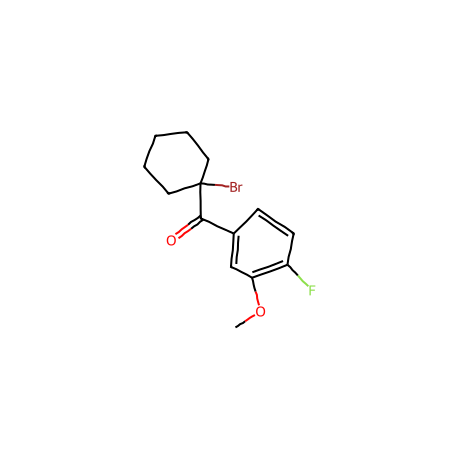 COc1cc(C(=O)C2(Br)CCCCC2)ccc1F